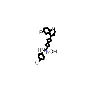 O/N=C(/Nc1ccc(Cl)cc1)C1CC2(C1)CC(c1ccnc3ccc(F)cc13)C2